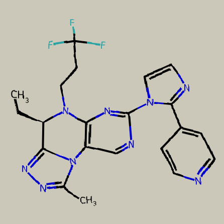 CC[C@@H]1c2nnc(C)n2-c2cnc(-n3ccnc3-c3ccncc3)nc2N1CCC(F)(F)F